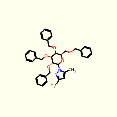 Cc1cc(C)n([C@@H]2O[C@H](COCc3ccccc3)[C@@H](OCc3ccccc3)[C@H](OCc3ccccc3)[C@H]2OCc2ccccc2)n1